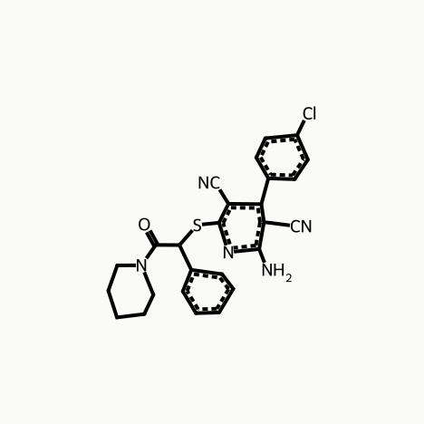 N#Cc1c(N)nc(SC(C(=O)N2CCCCC2)c2ccccc2)c(C#N)c1-c1ccc(Cl)cc1